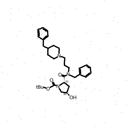 CC(C)(C)OC(=O)N1C[C@H](O)C[C@H]1C(=O)N(CCCN1CCC(Cc2ccccc2)CC1)Cc1ccccc1